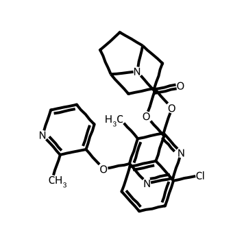 Cc1ncccc1Oc1ncnc(OC2CC3CCC(C2)N3C(=O)OCc2ccccc2Cl)c1C